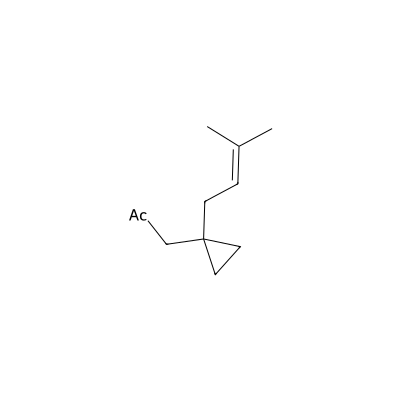 CC(=O)CC1(CC=C(C)C)CC1